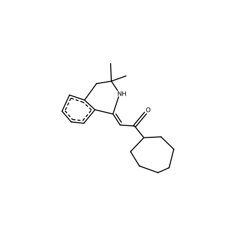 CC1(C)Cc2ccccc2C(=CC(=O)C2CCCCCC2)N1